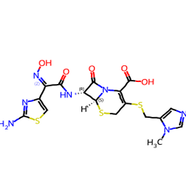 Cn1cncc1CSC1=C(C(=O)O)N2C(=O)[C@@H](NC(=O)/C(=N\O)c3csc(N)n3)[C@@H]2SC1